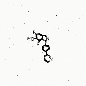 Oc1c(F)cc2cnn(-c3ccc(-c4cccnc4)cc3)c2c1F